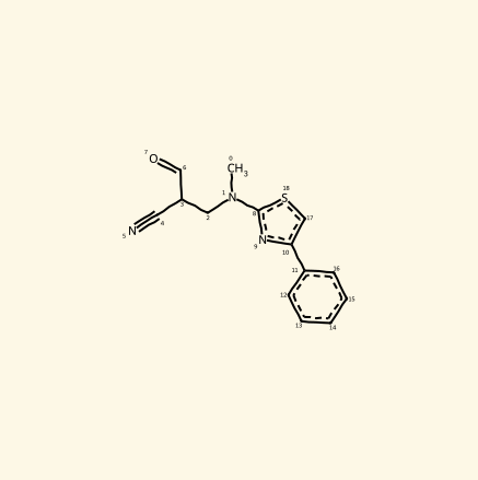 CN(CC(C#N)C=O)c1nc(-c2ccccc2)cs1